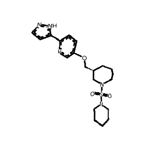 O=S(=O)(N1CCCCC1)N1CCC[C@H](COc2ccc(-c3ccn[nH]3)nc2)C1